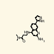 CN(C)C(=O)CCNc1cc(N)nc2cc(-c3ccn[nH]3)ccc12